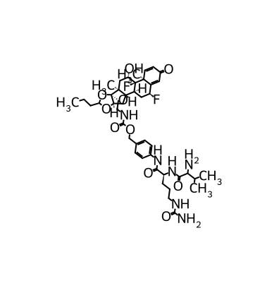 CCCC1O[C@@H]2C[C@H]3[C@@H]4C[C@H](F)C5=CC(=O)C=C[C@]5(C)[C@@]4(F)[C@@H](O)C[C@]3(C)[C@]2(C(=O)CNC(=O)OCc2ccc(NC(=O)[C@H](CCCNC(N)=O)NC(=O)C(N)C(C)C)cc2)O1